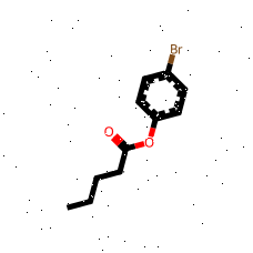 CCC[CH]C(=O)Oc1ccc(Br)cc1